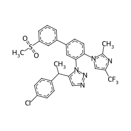 Cc1nc(C(F)(F)F)cn1-c1ccc(-c2cccc(S(C)(=O)=O)c2)cc1-n1nncc1C(C)c1ccc(Cl)cc1